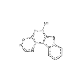 Oc1nc2cncnc2n2c1nc1ccccc12